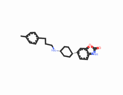 Cc1ccc(CCCN[C@H]2CC[C@@H](c3ccc4[nH]c(=O)oc4c3)CC2)cc1